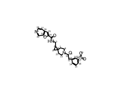 O=C(NCC1CC12CCN(C(=O)Cc1cccc([SH](=O)=O)c1)CC2)c1cc2ccncc2o1